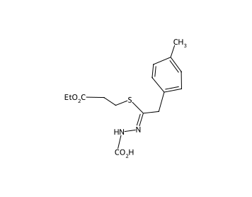 CCOC(=O)CCSC(Cc1ccc(C)cc1)=NNC(=O)O